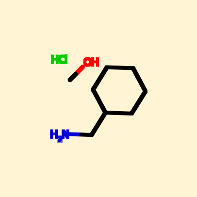 CO.Cl.NCC1CCCCC1